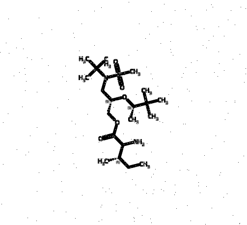 CC[C@H](C)C(N)C(=O)OC[C@H](CN(C(C)(C)C)S(C)(=O)=O)O[C@@H](C)C(C)(C)C